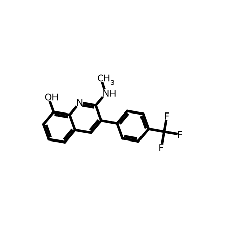 CNc1nc2c(O)cccc2cc1-c1ccc(C(F)(F)F)cc1